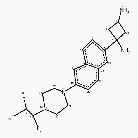 NC1CC(N)(c2ccc3cc(N4CCN(C(F)C(F)F)CC4)ccc3c2)C1